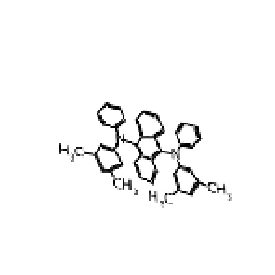 Cc1cc(C)cc(N(c2ccccc2)c2c3ccccc3c(N(c3ccccc3)c3cc(C)cc(C)c3)c3ccccc23)c1